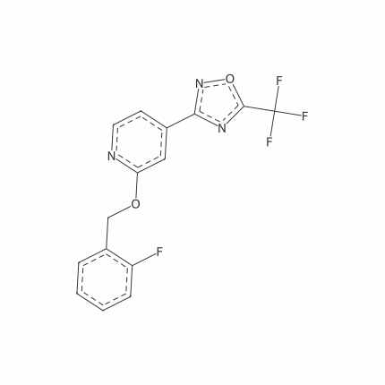 Fc1ccccc1COc1cc(-c2noc(C(F)(F)F)n2)ccn1